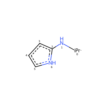 C[C](C)Nc1ccc[nH]1